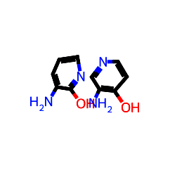 Nc1cccnc1O.Nc1cnccc1O